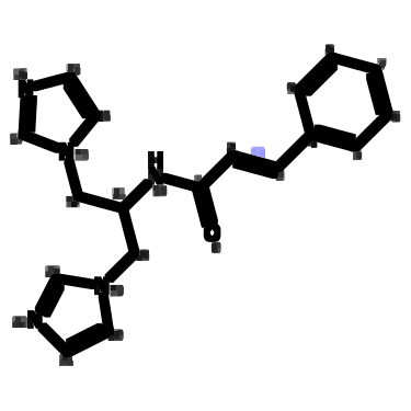 O=C(/C=C/c1ccccc1)NC(Cn1ccnc1)Cn1ccnc1